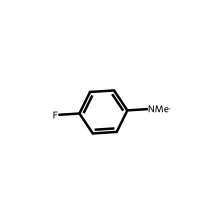 C[N]c1ccc(F)cc1